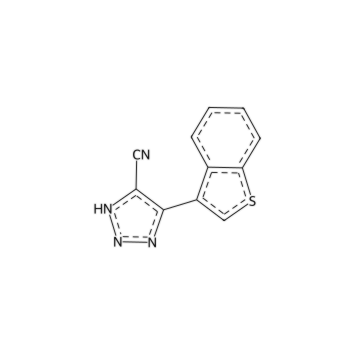 N#Cc1[nH]nnc1-c1csc2ccccc12